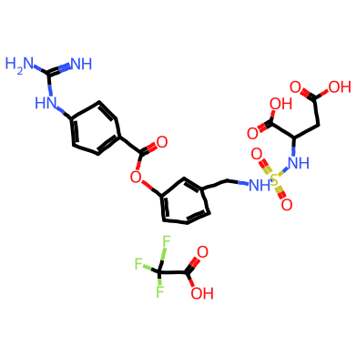 N=C(N)Nc1ccc(C(=O)Oc2cccc(CNS(=O)(=O)NC(CC(=O)O)C(=O)O)c2)cc1.O=C(O)C(F)(F)F